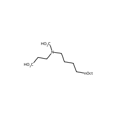 CCCCCCCCCCCCN(CCC(=O)O)C(=O)O